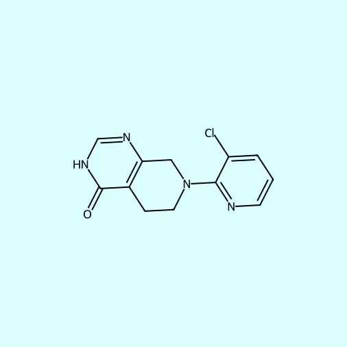 O=c1[nH]cnc2c1CCN(c1ncccc1Cl)C2